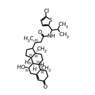 CC(C)C(NC(=O)C[C@@H](C)C1CC[C@H]2[C@@H]3[C@H](O)CC4=CC(=O)CC[C@]4(C)[C@H]3CC[C@]12C)c1ccc(Cl)s1